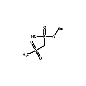 CCC(C)OP(=O)(O)CS(C)(=O)=O